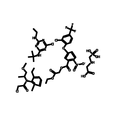 CCNc1nc(Cl)nc(NC(C)(C)C)n1.CCOC(=O)COC(=O)c1cc(Oc2ccc(C(F)(F)F)cc2Cl)ccc1[N+](=O)[O-].CCc1cccc(C)c1N(C(=O)CCl)C(C)COC.O=C(O)CNCP(=O)(O)O